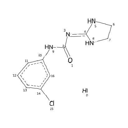 I.O=C(N=C1NCCN1)Nc1cccc(Cl)c1